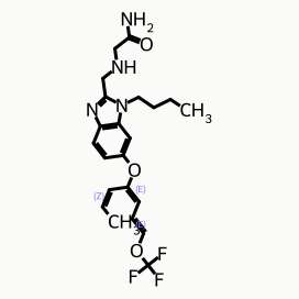 C\C=C/C(=C\C=C\OC(F)(F)F)Oc1ccc2nc(CNCC(N)=O)n(CCCC)c2c1